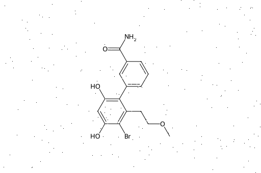 COCCc1c(Br)c(O)cc(O)c1-c1cccc(C(N)=O)c1